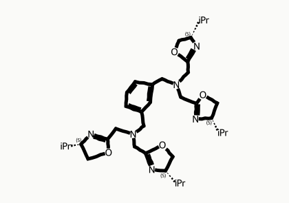 CC(C)[C@H]1COC(CN(CC2=N[C@@H](C(C)C)CO2)Cc2cccc(CN(CC3=N[C@@H](C(C)C)CO3)CC3=N[C@@H](C(C)C)CO3)c2)=N1